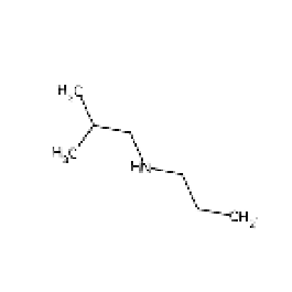 [CH2]CCNCC(C)C